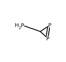 PC1P=P1